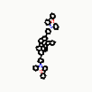 c1ccc(N(c2ccc(-c3ccc4c5c(ccc4c3)-c3ccc4cc(-c6ccc(N(c7ccccc7)c7cccc8c7oc7ccccc78)cc6)ccc4c3C53c4ccccc4-c4c3ccc3ccccc43)cc2)c2cccc3c2oc2ccccc23)cc1